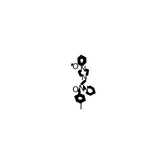 COc1ccccc1N1CCN(CCN(C(=O)c2ccc(I)cc2)N2CCCCC2)CC1